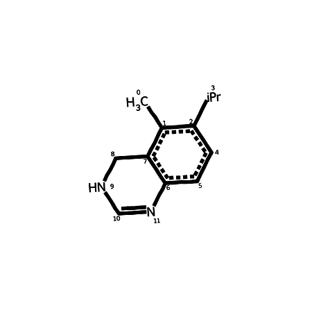 Cc1c(C(C)C)ccc2c1CNC=N2